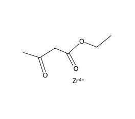 CCOC(=O)CC(C)=O.[Zr+4]